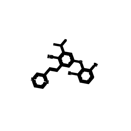 CC(C)c1cc(Oc2c(Br)cccc2Br)cc(C=Cc2cnccn2)c1O